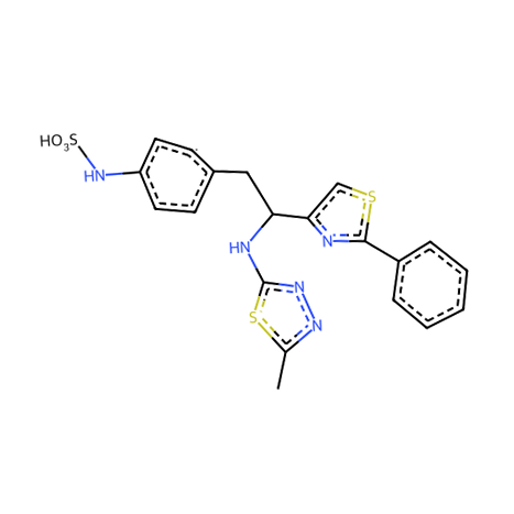 Cc1nnc(NC(Cc2[c]cc(NS(=O)(=O)O)cc2)c2csc(-c3ccccc3)n2)s1